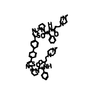 CN1CCN(CCC(=O)N[C@@H](C(=O)N2CCC[C@H]2c2ncc(-c3ccc(-c4ccc(-c5cnc([C@@H]6CCCN6C(=O)[C@H](NC(=O)CCN6CCN(C)CC6)c6ccccc6)s5)cc4)cc3)s2)c2ccccc2)CC1